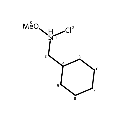 CO[SiH](Cl)CC1CCCCC1